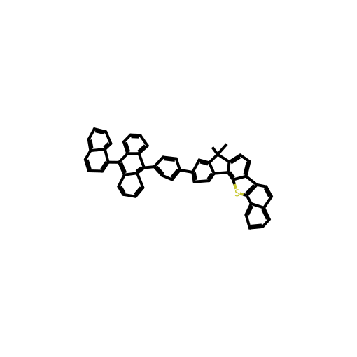 CC1(C)c2cc(-c3ccc(-c4c5ccccc5c(-c5cccc6ccccc56)c5ccccc45)cc3)ccc2-c2c1ccc1c2sc2c3ccccc3ccc12